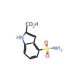 NS(=O)(=O)c1cccc2[nH]c(C(=O)O)cc12